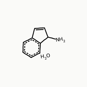 NC1C=Cc2ccccc21.O